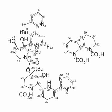 CC(C)(C)c1c(-c2ncccc2F)cc(F)nc1[C@]1(O)C(C(C)(C)C)N(C(=O)OC2(C(C)(C)C)CCN(C(=O)O)C(C3=NCC=C(c4ncccn4)N3)C2O)CC[C@H]1O.O=C(O)N1C=CC=CC1.O=C(O)N1C=CCCC1